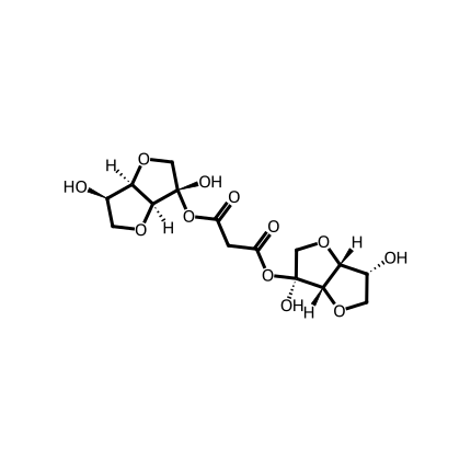 O=C(CC(=O)O[C@@]1(O)CO[C@@H]2[C@H](O)CO[C@@H]21)O[C@@]1(O)CO[C@@H]2[C@H](O)CO[C@@H]21